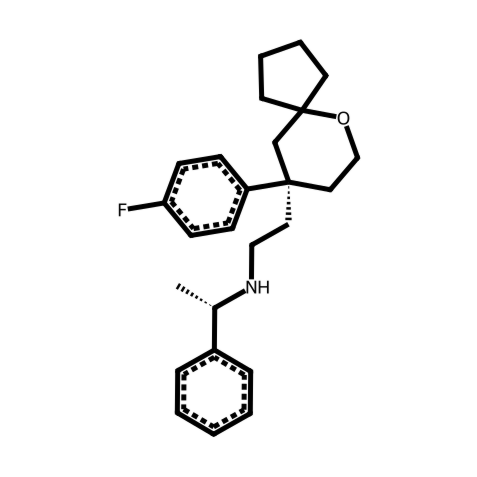 C[C@H](NCC[C@@]1(c2ccc(F)cc2)CCOC2(CCCC2)C1)c1ccccc1